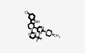 CN1CCN(c2ncc(C3c4[nH]c5ccc(Cl)cc5c4CCN3c3nccc(C(F)(F)F)n3)cn2)CC1